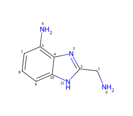 NCc1nc2c(N)cccc2[nH]1